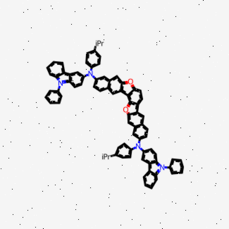 CC(C)c1ccc(N(c2ccc3cc4c(cc3c2)oc2c4ccc3oc4cc5cc(N(c6ccc(C(C)C)cc6)c6ccc7c(c6)c6ccccc6n7-c6ccccc6)ccc5cc4c32)c2ccc3c(c2)c2ccccc2n3-c2ccccc2)cc1